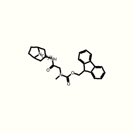 CN(CC(=O)NC1CC2CCC(C1)N2C(=O)O)C(=O)OCC1c2ccccc2-c2ccccc21